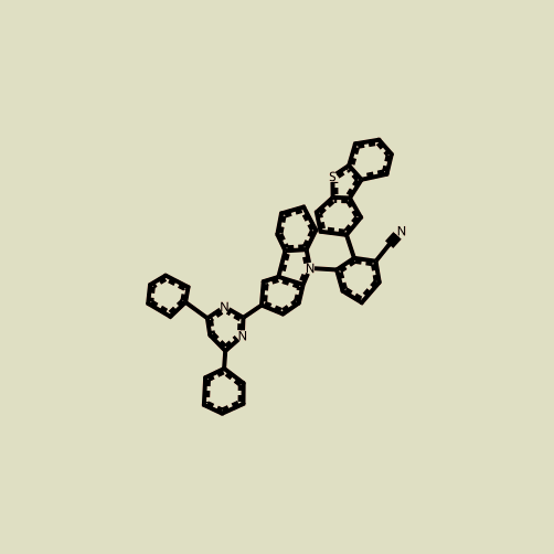 N#Cc1cccc(-n2c3ccccc3c3cc(-c4nc(-c5ccccc5)cc(-c5ccccc5)n4)ccc32)c1-c1ccc2sc3ccccc3c2c1